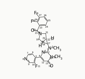 CN(c1nc(-c2ccncc2F)cc(=O)n1C)C1[C@H]2CN(C(=O)c3cccc(F)c3F)C[C@@H]12